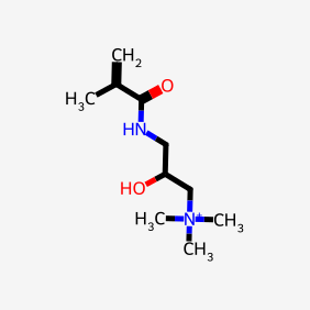 C=C(C)C(=O)NCC(O)C[N+](C)(C)C